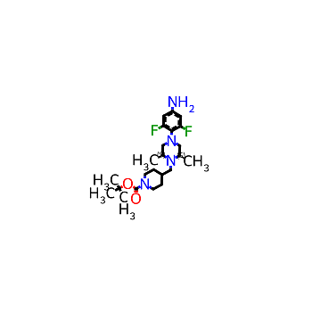 C[C@H]1CN(c2c(F)cc(N)cc2F)C[C@H](C)N1CC1CCN(C(=O)OC(C)(C)C)CC1